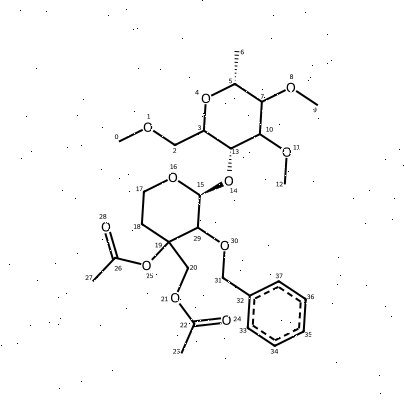 COCC1O[C@H](C)C(OC)C(OC)[C@@H]1O[C@@H]1OCCC(COC(C)=O)(OC(C)=O)C1OCc1ccccc1